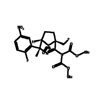 CC(C)(C)OC(=O)N(C(=O)OC(C)(C)C)C1=N[C@](C)(c2cc([N+](=O)[O-])ccc2F)[C@@H]2CC[C@@]1(CF)S2(=O)=O